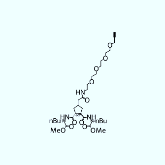 C#CCOCCOCCOCCOCCNC(=O)CC1C[C@@H](C(=O)N[C@@H](CCCC)C(=O)OC)[C@H](C(=O)N[C@@H](CCCC)C(=O)OC)C1